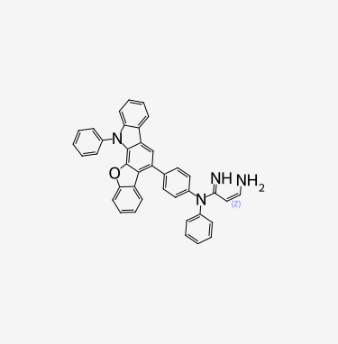 N=C(/C=C\N)N(c1ccccc1)c1ccc(-c2cc3c4ccccc4n(-c4ccccc4)c3c3oc4ccccc4c23)cc1